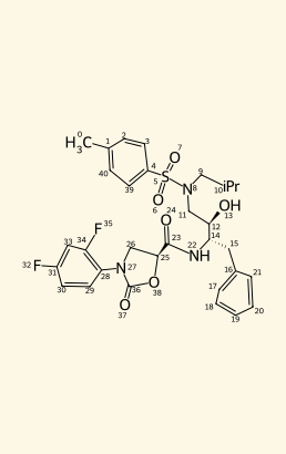 Cc1ccc(S(=O)(=O)N(CC(C)C)C[C@@H](O)[C@H](Cc2ccccc2)NC(=O)[C@@H]2CN(c3ccc(F)cc3F)C(=O)O2)cc1